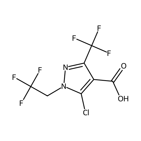 O=C(O)c1c(C(F)(F)F)nn(CC(F)(F)F)c1Cl